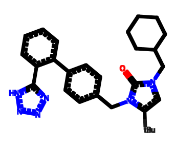 CC(C)(C)c1cn(CC2CCCCC2)c(=O)n1Cc1ccc(-c2ccccc2-c2nnn[nH]2)cc1